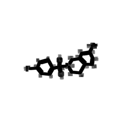 O=S(=O)(c1ccc(F)cc1)N1CCc2ccc(Br)cc2C1